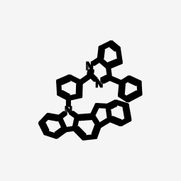 c1ccc(-c2nc(-c3cccc(-n4c5ccccc5c5ccc6c(c54)Cc4ccccc4-6)c3)nc3ccccc23)cc1